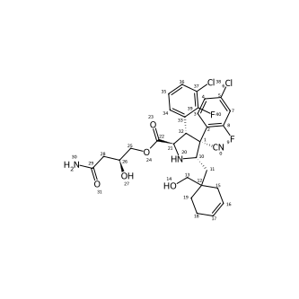 N#C[C@]1(c2ccc(Cl)cc2F)[C@H](CC2(CO)CC=CCC2)N[C@@H](C(=O)OC[C@@H](O)CC(N)=O)[C@@H]1c1cccc(Cl)c1F